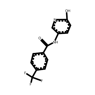 O=C(Nc1ccc(O)nc1)c1ccc(C(F)(F)F)cc1